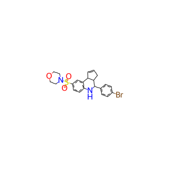 O=S(=O)(c1ccc2c(c1)C1C=CCC1C(c1ccc(Br)cc1)N2)N1CCOCC1